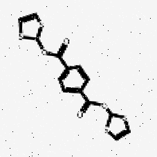 O=C(OC1SC=CS1)c1ccc(C(=O)OC2SC=CS2)cc1